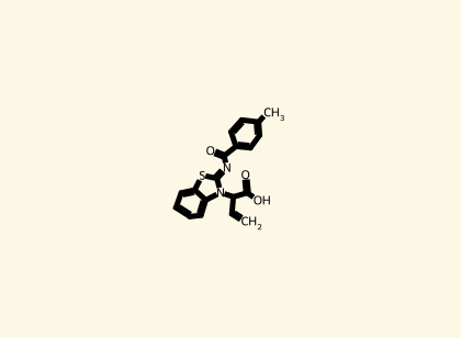 C=CC(C(=O)O)n1c(=NC(=O)c2ccc(C)cc2)sc2ccccc21